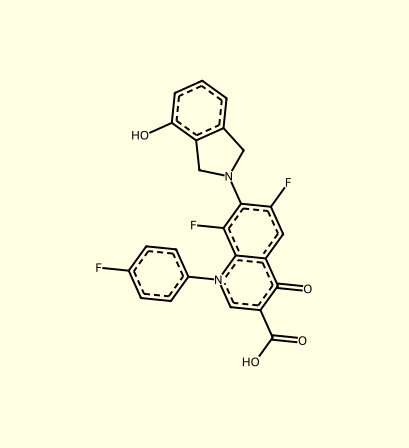 O=C(O)c1cn(-c2ccc(F)cc2)c2c(F)c(N3Cc4cccc(O)c4C3)c(F)cc2c1=O